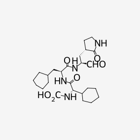 O=C[C@H](C[C@@H]1CCNC1=O)NC(=O)[C@H](CC1CCCCC1)NC(=O)[C@@H](NC(=O)O)C1CCCCC1